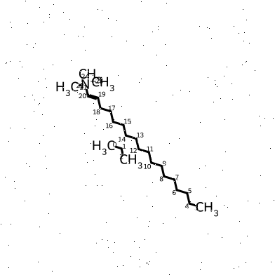 CCC.CCCCCCCCCCCCCCCCC=C[N+](C)(C)C